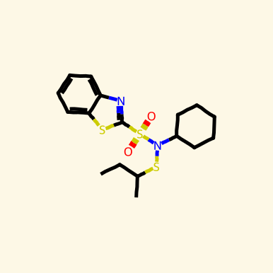 CCC(C)SN(C1CCCCC1)S(=O)(=O)c1nc2ccccc2s1